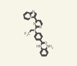 Nc1ccccc1NC(=O)c1ccc(N(CC(F)(F)F)c2nccc(-c3cnc4ccccn34)n2)cc1